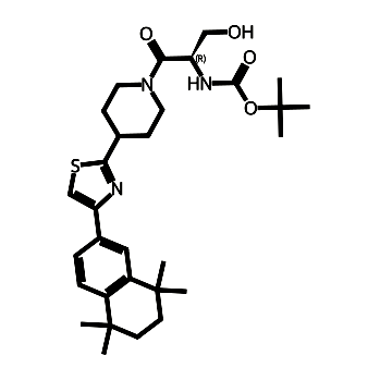 CC(C)(C)OC(=O)N[C@H](CO)C(=O)N1CCC(c2nc(-c3ccc4c(c3)C(C)(C)CCC4(C)C)cs2)CC1